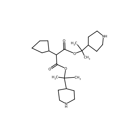 CC(C)(OC(=O)C(C(=O)OC(C)(C)C1CCNCC1)C1CCCC1)C1CCNCC1